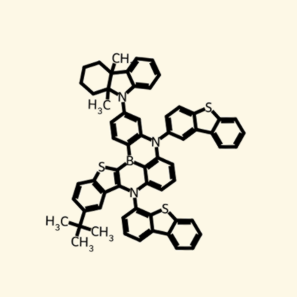 CC(C)(C)c1ccc2sc3c(c2c1)N(c1cccc2c1sc1ccccc12)c1cccc2c1B3c1ccc(N3c4ccccc4C4(C)CCCCC34C)cc1N2c1ccc2sc3ccccc3c2c1